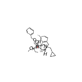 CO[C@]12CC[C@@]3(C[C@@H]1COCc1ccccc1)[C@H]1Cc4ccc(C)c5c4[C@@]3(CCN1CC1CC1)[C@H]2O5